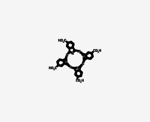 O=C(O)c1ccc2c(c1)-c1nc-2nc2[nH]c(nc3nc(nc4[nH]c(n1)c1ccc(C(=O)O)cc41)-c1cc(C(=O)O)ccc1-3)c1ccc(C(=O)O)cc21